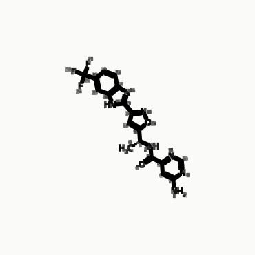 C[C@@H](NC(=O)c1cc(N)ncn1)c1cc(-c2nc3ccc(C(F)(F)F)cc3[nH]2)no1